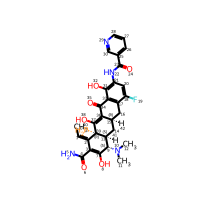 CC=C1C(C(N)=O)=C(O)[C@@H](N(C)C)[C@@H]2C[C@@H]3Cc4c(F)cc(NC(=O)c5cccnc5)c(O)c4C(=O)C3=C(O)[C@]12P